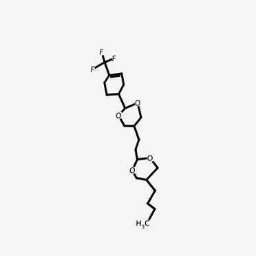 CCCCC1COC(CCC2COC(C3CC=C(C(F)(F)F)CC3)OC2)OC1